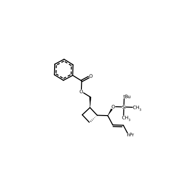 CCC/C=C/[C@H](O[Si](C)(C)C(C)(C)C)[C@@H]1CC[C@H]1COC(=O)c1ccccc1